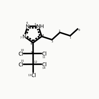 CCCCc1[nH]nnc1C(Cl)(Cl)C(Cl)(Cl)Cl